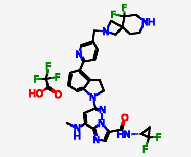 CNc1cc(N2CCc3c(-c4ccc(CN5CC6(CCNCC6(F)F)C5)cn4)cccc32)nn2c(C(=O)N[C@@H]3CC3(F)F)cnc12.O=C(O)C(F)(F)F